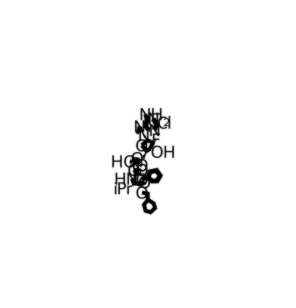 CC(C)[C@H](NP(=O)(Oc1ccccc1)OP(=O)(O)OC[C@H]1O[C@@H](n2cnc3c(N)nc(Cl)nc32)[C@H](F)C1O)C(=O)OCC1CCCCC1